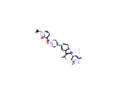 Cc1cc(-c2[nH]c3ccc(C4CCN(C(=O)c5cccn(C6CC6)c5=O)CC4)cc3c2C(C)C)cc(C)n1